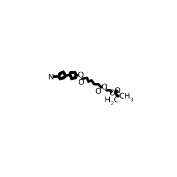 C=C(C)C(=O)OCCOC(=O)CCCCCC(=O)Oc1ccc(-c2ccc(C#N)cc2)cc1